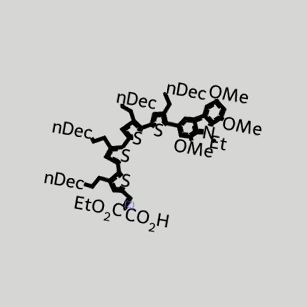 CCCCCCCCCCCCc1cc(-c2sc(-c3sc(-c4sc(/C=C(/C(=O)O)C(=O)OCC)cc4CCCCCCCCCCCC)cc3CCCCCCCCCCCC)cc2CCCCCCCCCCCC)sc1-c1cc(OC)c2c(c1)c1cc(OC)cc(OC)c1n2CC